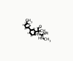 CNC(=N)NC(C)(C=O)c1cccc(-c2ccc(C)s2)c1